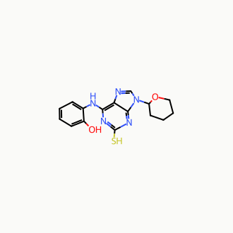 Oc1ccccc1Nc1nc(S)nc2c1ncn2C1CCCCO1